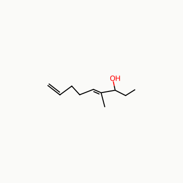 C=CCC/C=C(\C)C(O)CC